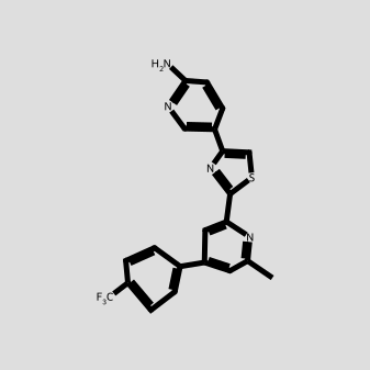 Cc1cc(-c2ccc(C(F)(F)F)cc2)cc(-c2nc(-c3ccc(N)nc3)cs2)n1